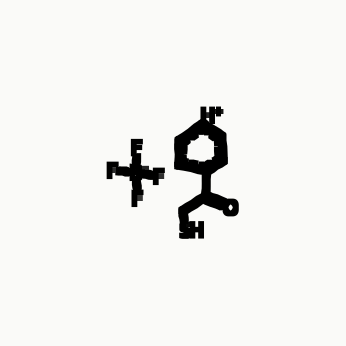 F[B-](F)(F)F.O=C(CS)c1ccccc1.[H+]